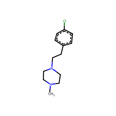 CN1CCN(C[CH]c2ccc(Cl)cc2)CC1